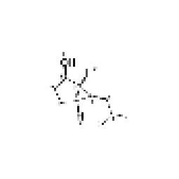 CC(C)C[C@H]1[C@@H]2CC[C@@H](O)[C@@H]21